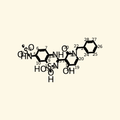 CS(=O)(=O)Nc1ccc2c(c1)S(O)(O)N=C(c1c(O)ccn(Cc3ccccc3)c1=O)N2